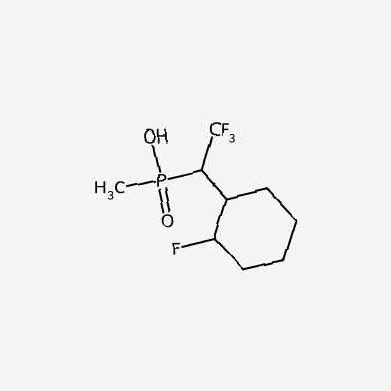 CP(=O)(O)C(C1CCCCC1F)C(F)(F)F